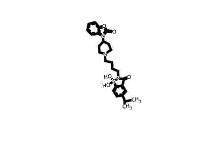 CC(C)c1ccc2c(c1)C(=O)N(CCCCN1CCC(n3c(=O)oc4ccccc43)CC1)S2(O)O